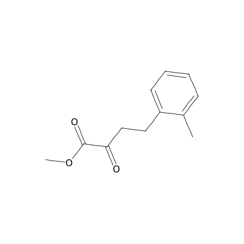 COC(=O)C(=O)CCc1ccccc1C